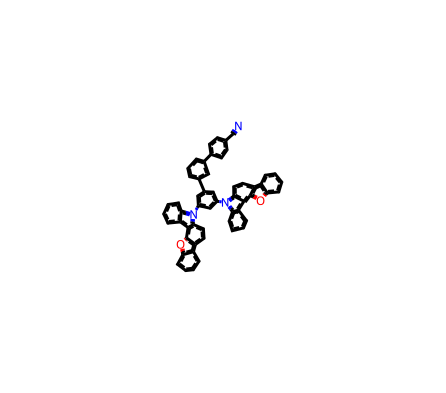 N#Cc1ccc(-c2cccc(-c3cc(-n4c5ccccc5c5c6oc7ccccc7c6ccc54)cc(-n4c5ccccc5c5c6oc7ccccc7c6ccc54)c3)c2)cc1